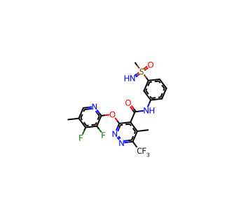 Cc1cnc(Oc2nnc(C(F)(F)F)c(C)c2C(=O)Nc2cccc(S(C)(=N)=O)c2)c(F)c1F